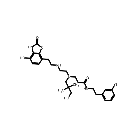 CC(C)(CO)CN(CCNCCc1ccc(O)c2[nH]c(=O)sc12)CCC(=O)NCCc1cccc(Cl)c1